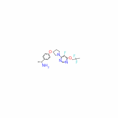 C[C@H](N)c1ccc(O[C@@H]2CCN(c3ncnc(OCC(C)(F)F)c3F)C2)cc1